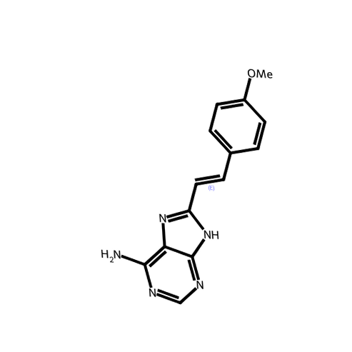 COc1ccc(/C=C/c2nc3c(N)ncnc3[nH]2)cc1